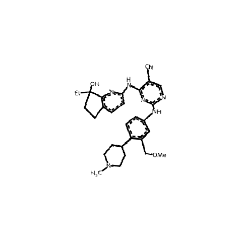 CCC1(O)CCc2ccc(Nc3nc(Nc4ccc(C5CCN(C)CC5)c(COC)c4)ncc3C#N)nc21